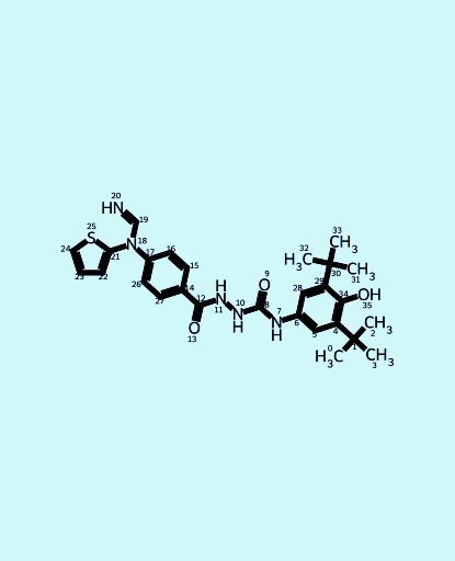 CC(C)(C)c1cc(NC(=O)NNC(=O)c2ccc(N(C=N)c3cccs3)cc2)cc(C(C)(C)C)c1O